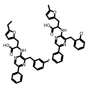 CCc1ccc(CC(Nc2ncc(-c3ccccc3)nc2Cc2cccc(F)c2)C(=O)O)o1.Cc1ccc(CC(Nc2ncc(-c3ccccc3)nc2Cc2ccccc2Cl)C(=O)O)o1